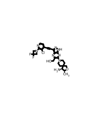 C[C@@H]1OCC2(CCN(c3nc4[nH]nc(C#Cc5ccnc(N6CC(F)(F)C6)c5Cl)c4nc3CO)CC2)[C@@H]1N